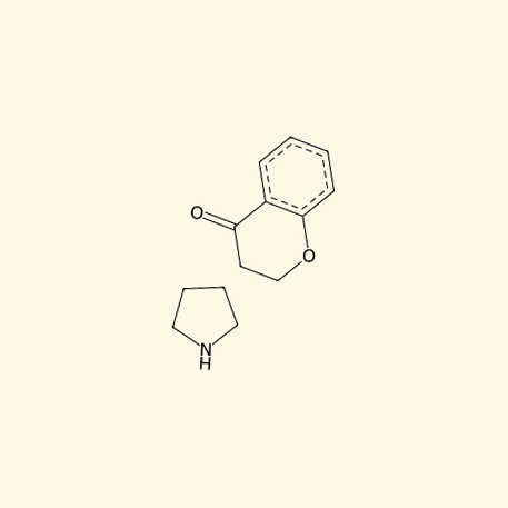 C1CCNC1.O=C1CCOc2ccccc21